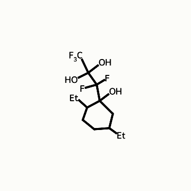 CCC1CCC(CC)C(O)(C(F)(F)C(O)(O)C(F)(F)F)C1